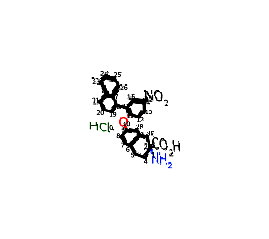 Cl.NC1(C(=O)O)CCc2ccc(Oc3ccc([N+](=O)[O-])cc3-c3cccc4ccccc34)cc2C1